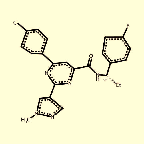 CC[C@H](NC(=O)c1cc(-c2ccc(Cl)cc2)nc(-c2cnn(C)c2)n1)c1ccc(F)cc1